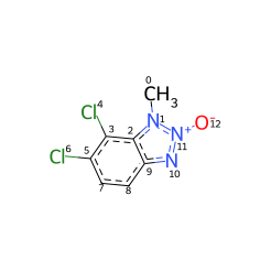 Cn1c2c(Cl)c(Cl)ccc2n[n+]1[O-]